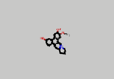 COc1cc2c(cc1O)c1cc(O)ccc1c1cc3[n+](cc21)CCC3